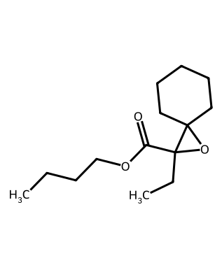 CCCCOC(=O)C1(CC)OC12CCCCC2